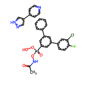 CC(=O)NO[As](=O)(OO)c1cc(-c2ccccc2)cc(-c2ccc(F)c(Cl)c2)c1.c1cc(-c2cn[nH]c2)ccn1